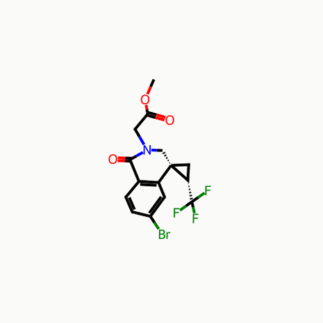 COC(=O)CN1C[C@@]2(C[C@@H]2C(F)(F)F)c2cc(Br)ccc2C1=O